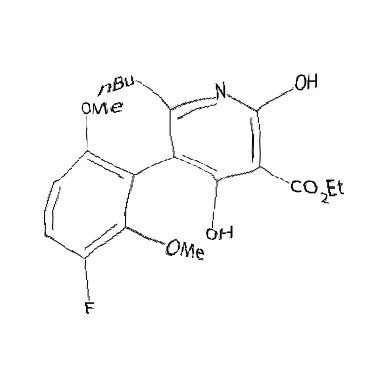 CCCCc1nc(O)c(C(=O)OCC)c(O)c1-c1c(OC)ccc(F)c1OC